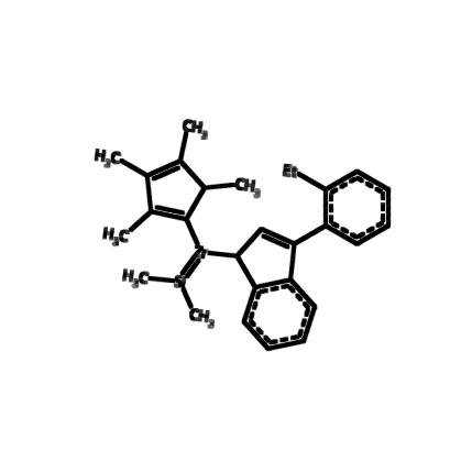 CCc1ccccc1C1=C[CH]([Zr]([C]2=C(C)C(C)=C(C)C2C)=[Si](C)C)c2ccccc21